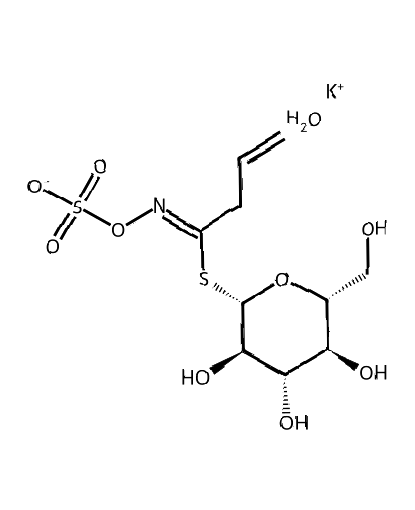 C=CC/C(=N/OS(=O)(=O)[O-])S[C@@H]1O[C@H](CO)[C@@H](O)[C@H](O)[C@H]1O.O.[K+]